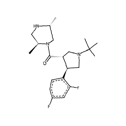 C[C@@H]1CN(C(=O)[C@@H]2CN(C(C)(C)C)C[C@H]2c2ccc(F)cc2F)[C@@H](C)CN1